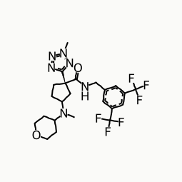 CN(C1CCOCC1)C1CC[C@@](C(=O)NCc2cc(C(F)(F)F)cc(C(F)(F)F)c2)(c2nnn(C)n2)C1